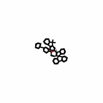 CC1(C)c2ccccc2-c2ccc(C3=C(/C=C\C(N)c4ccc(-c5ccccc5)cc4)C4(c5ccccc53)c3ccccc3-c3ccccc34)cc21